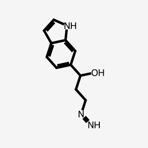 N=NCCC(O)c1ccc2cc[nH]c2c1